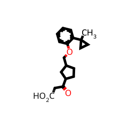 CC1(c2ccccc2OCC2CCC(C(=O)CC(=O)O)C2)CC1